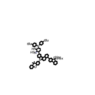 CCCCCCC1(CCCCCC)c2ccccc2-c2ccc(-c3cccc4c3ccc3c4c4cc(C5=CC=C(N(c6ccc(C(C)(C)C)cc6)c6ccc(C(C)(C)C)cc6)C(=N)/C5=N\S)ccc4n3-c3ccc4c(c3)C(C)(C)c3ccccc3O4)cc21